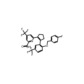 O=C(O)c1cc(C(F)(F)F)cc(C2=C(c3cc(C(F)(F)F)ccc3OCc3ccc(F)cc3)CCC2)n1